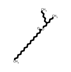 CCCCCCCCCCCCCCCCCC(=O)OCCC(CCCC)CCCCCC